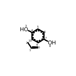 C=CC.Oc1ccc(O)cc1